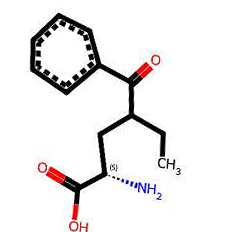 CCC(C[C@H](N)C(=O)O)C(=O)c1ccccc1